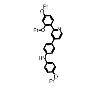 CCOc1ccc(Nc2ccc(-c3ccnc(-c4ccc(OCC)cc4OCC)c3)cc2)cc1